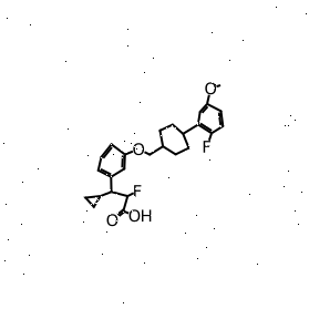 COc1ccc(F)c(C2CCC(COc3cccc(C(C4CC4)C(F)C(=O)O)c3)CC2)c1